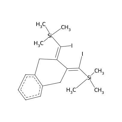 C[Si](C)(C)/C(I)=C1\Cc2ccccc2C\C1=C(\I)[Si](C)(C)C